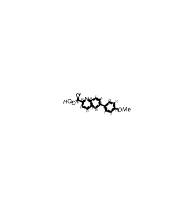 COc1ccc(-c2ccc3nc(C(=O)OO)ccc3c2)cc1